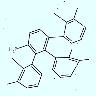 Cc1cccc(-c2ccc(P)c(-c3cccc(C)c3C)c2-c2cccc(C)c2C)c1C